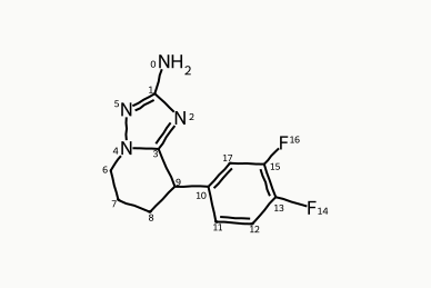 Nc1nc2n(n1)CCCC2c1ccc(F)c(F)c1